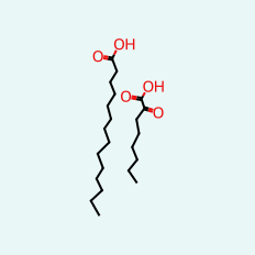 CCCCCCC(=O)C(=O)O.CCCCCCCCCCCCCC(=O)O